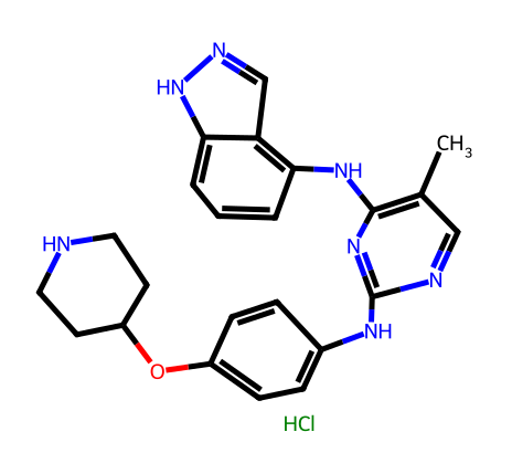 Cc1cnc(Nc2ccc(OC3CCNCC3)cc2)nc1Nc1cccc2[nH]ncc12.Cl